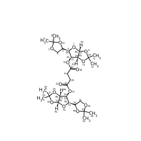 CC1(C)OCC([C@H]2O[C@@H]3OC(C)(C)O[C@@H]3[C@H]2OC(=O)CCC(=O)O[C@@H]2[C@H]3OC(C)(C)O[C@H]3O[C@@H]2C2COC(C)(C)O2)O1